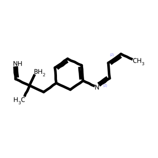 BC(C)(C=N)CC1C=CC=C(/N=C\C=C/C)C1